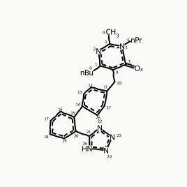 CCCCc1nc(C)n(CCC)c(=O)c1Cc1ccc(-c2ccccc2-c2nnn[nH]2)cc1